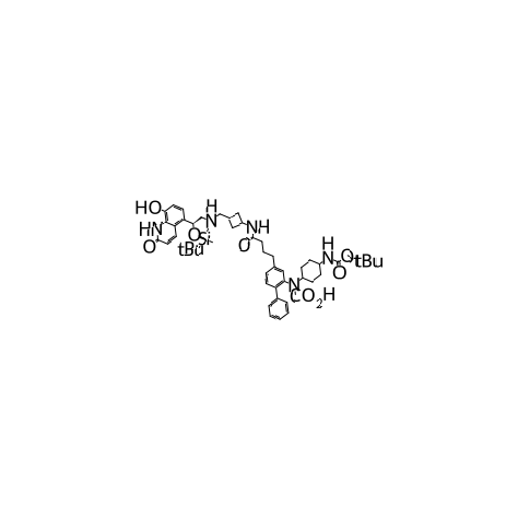 CC(C)(C)OC(=O)NC1CCC(N(C(=O)O)c2cc(CCCC(=O)NC3CC(CNC[C@@H](O[Si](C)(C)C(C)(C)C)c4ccc(O)c5[nH]c(=O)ccc45)C3)ccc2-c2ccccc2)CC1